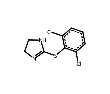 Clc1cccc(Cl)c1SC1=NCCN1